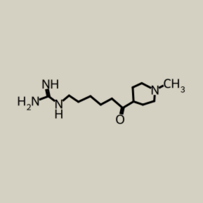 CN1CCC(C(=O)CCCCCNC(=N)N)CC1